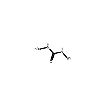 [CH2]CCCNC(=O)NC(C)C